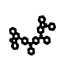 c1ccc(N(c2ccc(-c3cc4ccccc4c4oc5ccccc5c34)cc2)c2ccc(N(c3ccccc3)c3ccc4c5ccccc5n(-c5ccccc5)c4c3)cc2)cc1